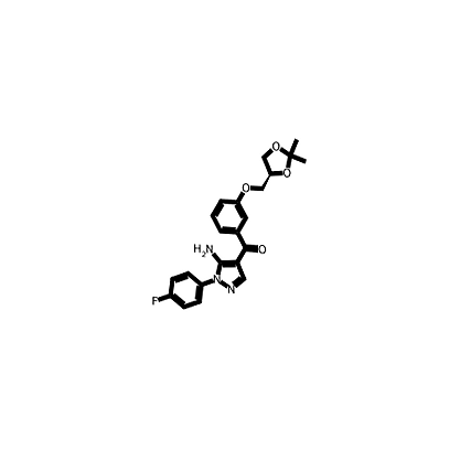 CC1(C)OC[C@H](COc2cccc(C(=O)c3cnn(-c4ccc(F)cc4)c3N)c2)O1